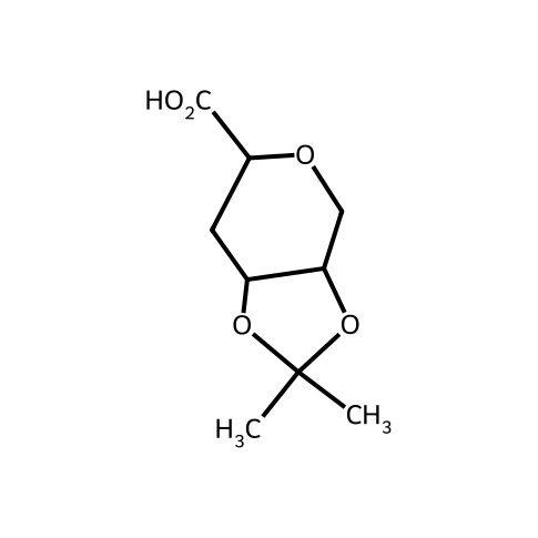 CC1(C)OC2COC(C(=O)O)CC2O1